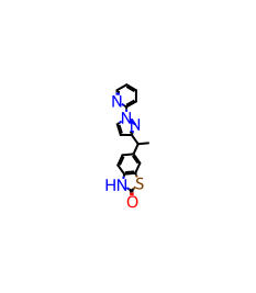 CC(c1ccc2[nH]c(=O)sc2c1)c1ccn(-c2ccccn2)n1